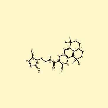 CC1(C)CCN2CCC(C)(C)c3c2c1cc1cc(C(=O)NCCN2C(=O)C=CC2=O)c(=O)oc31